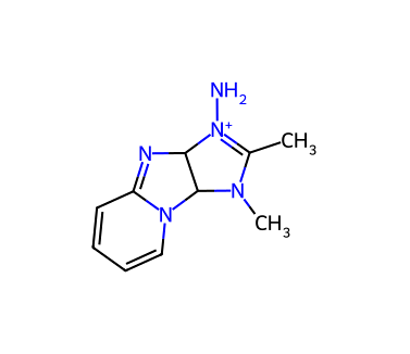 CC1=[N+](N)C2N=C3C=CC=CN3C2N1C